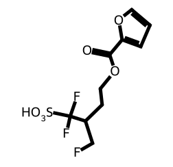 O=C(OCCC(CF)C(F)(F)S(=O)(=O)O)c1ccco1